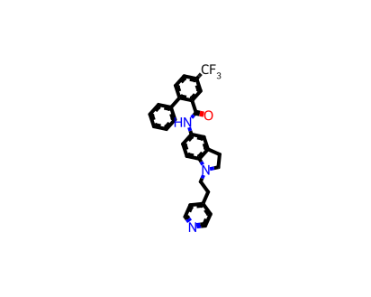 O=C(Nc1ccc2c(c1)CCN2CCc1ccncc1)c1cc(C(F)(F)F)ccc1-c1ccccc1